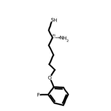 N[C@@H](CS)CCCCOc1ccccc1F